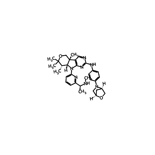 CN[C@@H](C)c1cccc(N2c3nc(Nc4ccc(N5C[C@H]6C[C@@H]5CO6)cc4)ncc3[C@@]3(C)COC(C)(C)[C@@H](C)[C@@H]23)n1